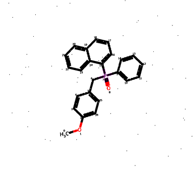 COc1ccc(CP(=O)(c2ccccc2)c2cccc3ccccc23)cc1